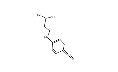 [N-]=[N+]=C1C=CC(NCCC(O)O)=CC1